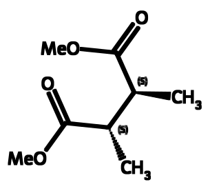 COC(=O)[C@@H](C)[C@H](C)C(=O)OC